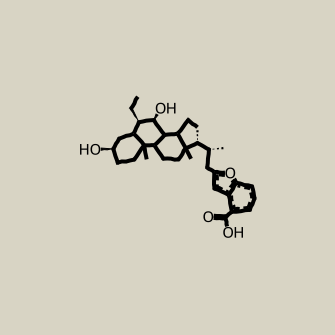 CC[C@@H]1C2C[C@H](O)CCC2(C)C2CCC3(C)C(CC[C@@H]3[C@H](C)Cc3cc4c(C(=O)O)cccc4o3)C2[C@@H]1O